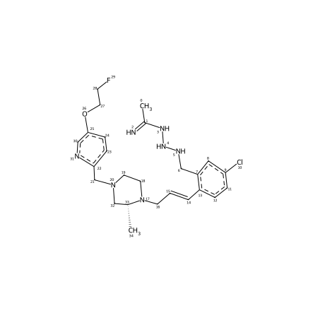 CC(=N)NNNCc1cc(Cl)ccc1/C=C/CN1CCN(Cc2ccc(OCCF)cn2)C[C@H]1C